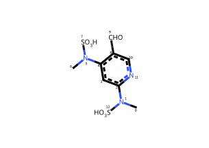 CN(c1cc(N(C)S(=O)(=O)O)c(C=O)cn1)S(=O)(=O)O